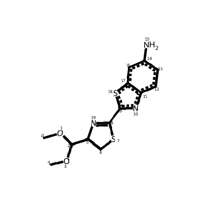 COC(OC)C1CSC(c2nc3ccc(N)cc3s2)=N1